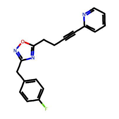 Fc1ccc(Cc2noc(CCC#Cc3ccccn3)n2)cc1